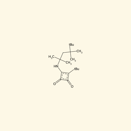 CC(C)(CC(C)(C)C(C)(C)C)Nc1c(C(C)(C)C)c(=O)c1=O